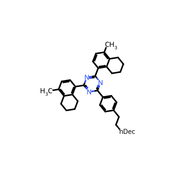 CCCCCCCCCCCCc1ccc(-c2nc(-c3ccc(C)c4c3CCCC4)nc(-c3ccc(C)c4c3CCCC4)n2)cc1